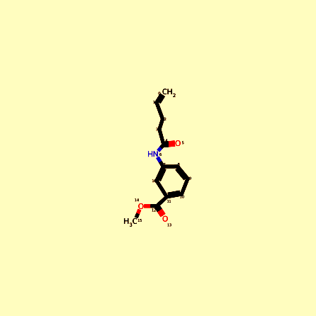 C=CCCC(=O)Nc1cccc(C(=O)OC)c1